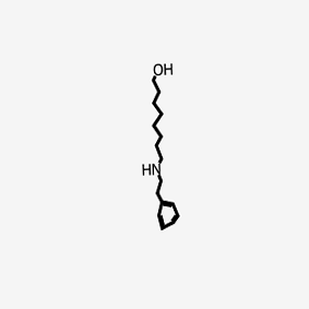 OCCCCCCCCNCCc1ccccc1